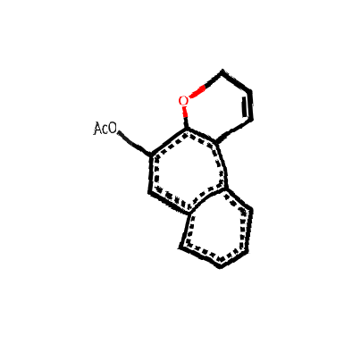 CC(=O)Oc1cc2ccccc2c2c1OCC=C2